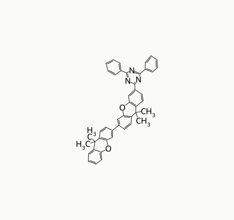 CC1(C)c2ccccc2Oc2cc(-c3ccc4c(c3)Oc3cc(-c5nc(-c6ccccc6)nc(-c6ccccc6)n5)ccc3C4(C)C)ccc21